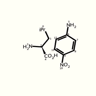 CC(C)C[C@H](N)C(=O)O.Nc1ccc([N+](=O)[O-])cc1